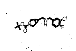 CC(C)(C)OC(=O)N1CC2C(CNCc3ccc(F)c(Cl)c3)C2C1